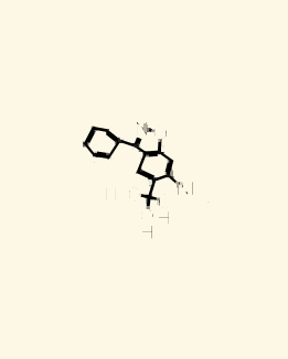 CC(C)(O)c1cc2c(-c3ccccc3)noc2cc1N